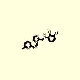 Cc1cccc(/N=C\N2CCN=C2CNc2cccc(Cl)c2Cl)n1